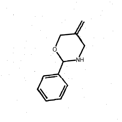 C=C1CNC(c2ccccc2)OC1